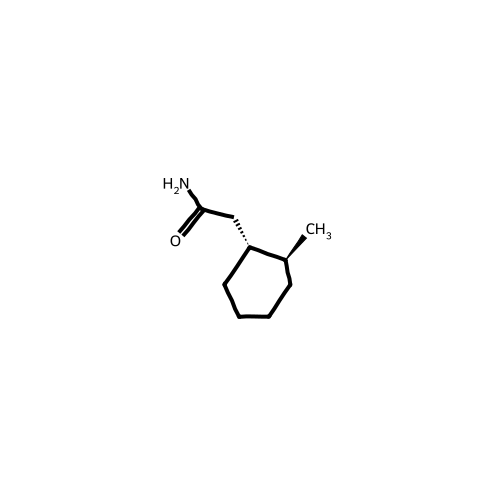 C[C@H]1CCCC[C@@H]1CC(N)=O